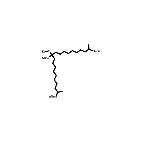 CCCCCCCCCC(C)CCCCCCCCC(CCCCCCCCC(C)CCCCCCCCC)(OC)OCC